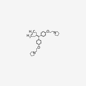 CCC(CC)=C(c1ccc(OCCN2CCCC2)cc1)c1ccc(OCCN2CCCC2)cc1